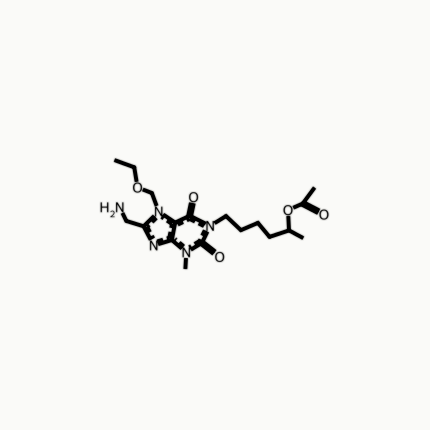 CCOCn1c(CN)nc2c1c(=O)n(CCCCC(C)OC(C)=O)c(=O)n2C